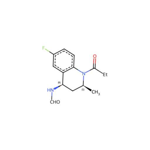 CCC(=O)N1c2ccc(F)cc2[C@H](NC=O)C[C@@H]1C